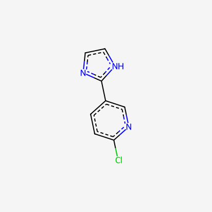 Clc1ccc(-c2ncc[nH]2)cn1